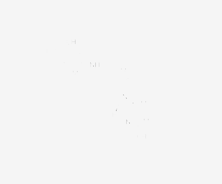 CC(=O)N(C1=CCC=CC1)C1C(=O)N2[C@@H](C(=O)OC(c3ccccc3)c3ccccc3)C(OCNC(=O)OC(C)(C)C)=CS[C@@H]12